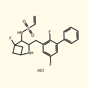 C=CS(=O)(=O)NC1C(Cc2cc(F)cc(-c3ccccc3)c2F)NC2CC1(F)C2.Cl